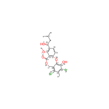 COc1c([C@@H](O)CC(C)C)ccc2c1C(=O)OCc1c(Br)c(C)c(Br)c(O)c1O2